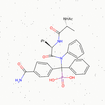 CC(=O)N[C@H](C)C(=O)N[C@@H](C(=O)N(c1ccccc1)C(c1ccccc1)(c1ccc(C(N)=O)cc1)P(=O)(O)O)C(C)C